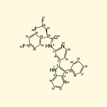 O=C(Nc1cc(-c2[nH]c3cccnc3c2-c2ccccc2)ccn1)[C@H](CC(F)F)c1ccc(F)cc1